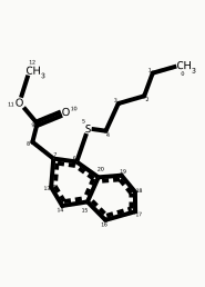 CCCCCSc1c(CC(=O)OC)ccc2ccccc12